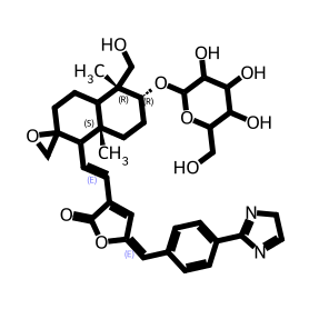 C[C@]12CC[C@@H](OC3OC(CO)C(O)C(O)C3O)[C@@](C)(CO)C1CCC1(CO1)C2/C=C/C1=CC(=C\c2ccc(C3=NCC=N3)cc2)/OC1=O